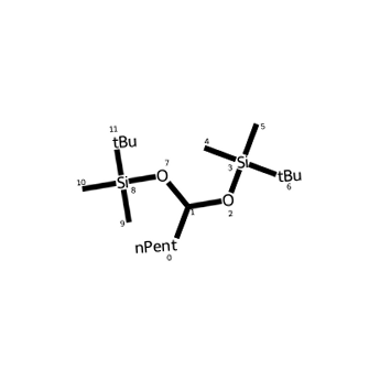 CCCCCC(O[Si](C)(C)C(C)(C)C)O[Si](C)(C)C(C)(C)C